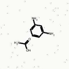 NC(=O)O.Nc1cccc(N)c1